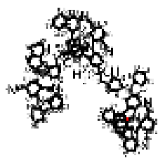 CC(C)(Cc1ccc(N(c2ccccc2)c2ccc3c(c2)c2c4ccccc4ccc2n3-c2c(C#N)ccc(C#N)c2-n2c3ccccc3c3ccccc32)cc1)c1ccc2c(c1)c1cc(C(C)(C)Cc3cccc4c3c3c5ccccc5ccc3n4-c3cc(C#N)cc(-n4c5ccccc5c5ccccc54)c3C#N)ccc1n2-c1c(C#N)ccc(C#N)c1-n1c2ccccc2c2c3ccccc3ccc21